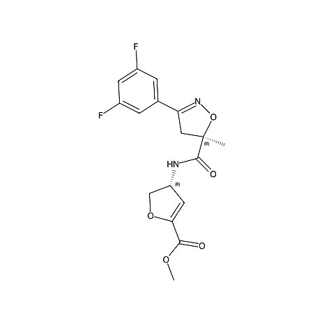 COC(=O)C1=C[C@@H](NC(=O)[C@@]2(C)CC(c3cc(F)cc(F)c3)=NO2)CO1